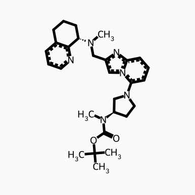 CN(Cc1cn2c(N3CC[C@@H](N(C)C(=O)OC(C)(C)C)C3)cccc2n1)[C@H]1CCCc2cccnc21